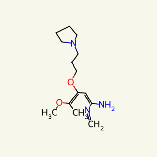 C=N/C(N)=C\C(OCCCN1CCCC1)=C(/C)OC